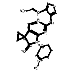 CCOc1n[nH]cc1Nc1ncc2c(n1)N([C@@H]1CCC[C@@H](O)C1)C(=O)C21CC1